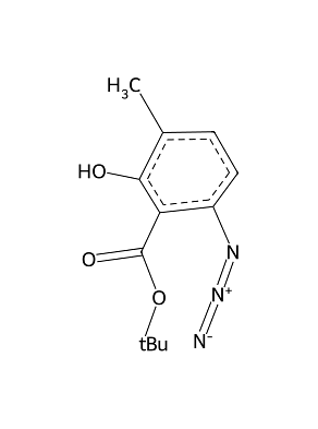 Cc1ccc(N=[N+]=[N-])c(C(=O)OC(C)(C)C)c1O